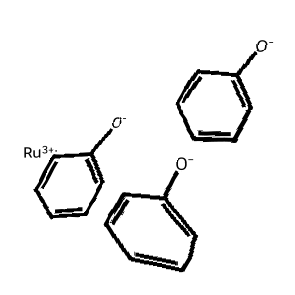 [O-]c1ccccc1.[O-]c1ccccc1.[O-]c1ccccc1.[Ru+3]